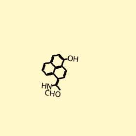 CC(NC=O)=c1ccc2c(O)ccc3cccc1c32